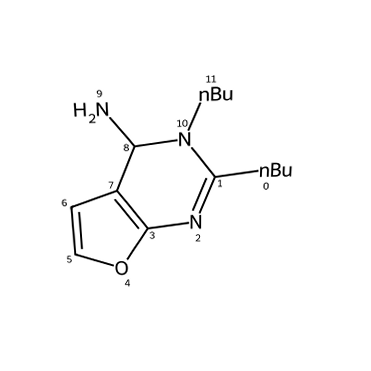 CCCCC1=Nc2occc2C(N)N1CCCC